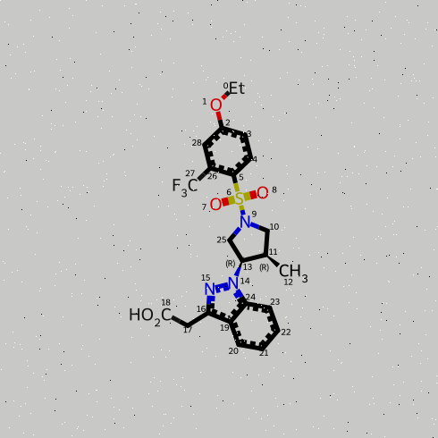 CCOc1ccc(S(=O)(=O)N2C[C@@H](C)[C@@H](n3nc(CC(=O)O)c4ccccc43)C2)c(C(F)(F)F)c1